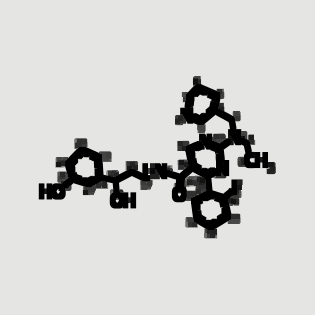 CCN(Cc1cccnc1)c1ncc(C(=O)NCCC(O)c2cccc(O)c2)c(-c2ccccc2F)n1